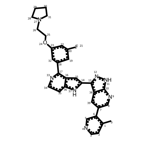 Cc1ccncc1-c1cnc2[nH]nc(-c3cc4c(-c5cc(F)cc(OCCN6CCCC6)c5)nccc4[nH]3)c2c1